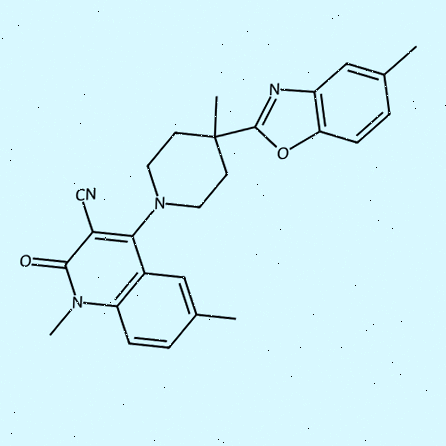 Cc1ccc2oc(C3(C)CCN(c4c(C#N)c(=O)n(C)c5ccc(C)cc45)CC3)nc2c1